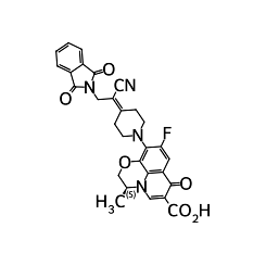 C[C@H]1COc2c(N3CCC(=C(C#N)CN4C(=O)c5ccccc5C4=O)CC3)c(F)cc3c(=O)c(C(=O)O)cn1c23